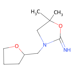 CC1(C)CN(CC2CCCO2)C(=N)O1